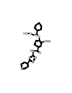 COc1cc(C(=O)Nc2nnc(-c3ccncc3)s2)ccc1O[C@@H](COO)c1ccccc1